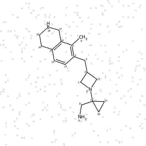 Cc1c(CC2CN(C3(CN)CC3)C2)ccc2c1CBCC2